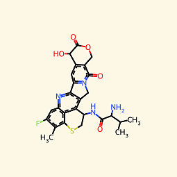 Cc1c(F)cc2nc3c(c4c2c1SCC4NC(=O)C(N)C(C)C)Cn1c-3cc2c(c1=O)COC(=O)C2O